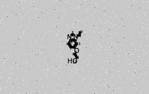 CCn1cnc2ccc(OCCO)cc21